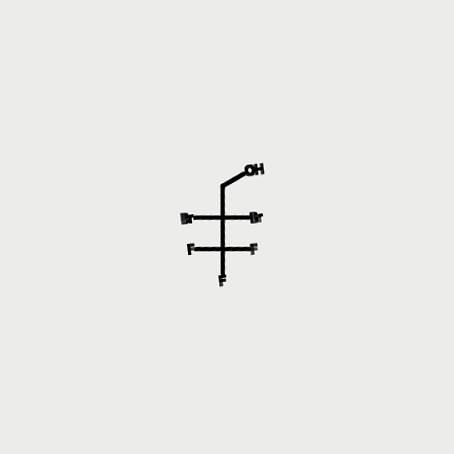 OCC(Br)(Br)C(F)(F)F